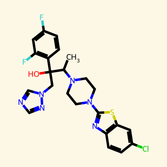 CC(N1CCN(c2nc3ccc(Cl)cc3s2)CC1)C(O)(Cn1cncn1)c1ccc(F)cc1F